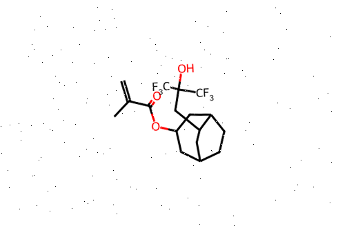 C=C(C)C(=O)OC1CC2CCC(C1)C(CC(O)(C(F)(F)F)C(F)(F)F)C2